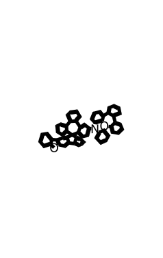 c1ccc(N(c2ccc3c(c2)-c2ccccc2-c2ccccc2C32c3ccccc3-c3cc4oc5ccccc5c4cc32)c2cccc3c2Oc2ccccc2-c2ccccc2-3)cc1